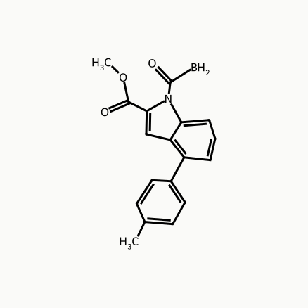 BC(=O)n1c(C(=O)OC)cc2c(-c3ccc(C)cc3)cccc21